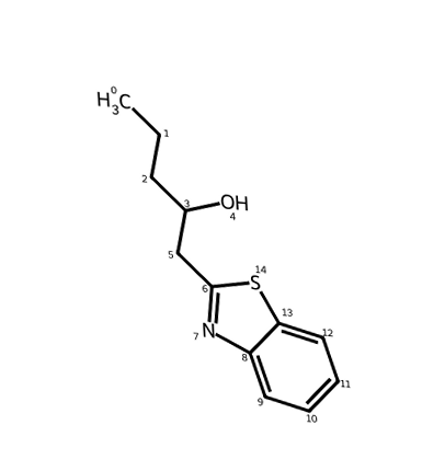 CCCC(O)Cc1nc2ccccc2s1